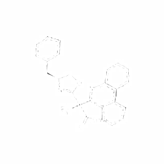 COC(=O)C(C1=N[C@@H](Cc2ccccc2)CO1)(c1nc2ccccc2c2ccccc12)C(F)(F)F